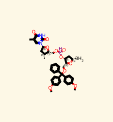 B[C@H]1C[C@@H](O[PH](=O)OC[C@H]2O[C@@H](n3cc(C)c(=O)[nH]c3=O)C[C@H]2C)[C@@H](COC(c2ccccc2)(c2ccc(OC)cc2)c2ccc(OC)cc2)O1